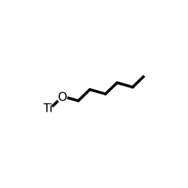 CCCCCC[O][Ti]